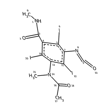 CNC(=O)c1c(I)c(N=C=O)c(I)c(N(C)C(C)=O)c1I